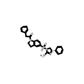 NC1=N[C@@H](c2ccccc2)CN1S(=O)(=O)c1ccc2c(c1)CCN2C(=O)Cc1ccccc1